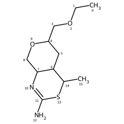 CCOCC1CC2C(CO1)N=C(N)SC2C